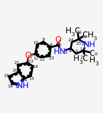 CC1(C)CC(NC(=O)c2ccc(Oc3ccc4[nH]ccc4c3)cc2)CC(C)(C)N1